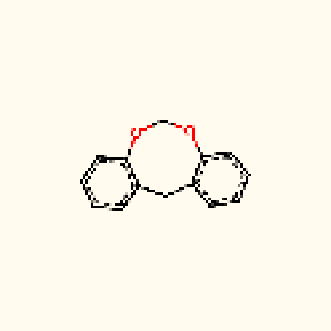 c1ccc2c(c1)Cc1ccccc1OCO2